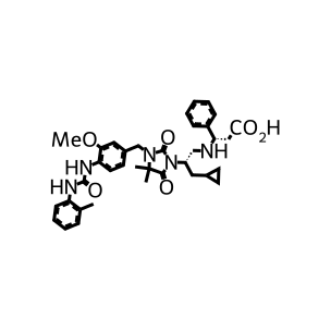 COc1cc(CN2C(=O)N([C@H](CN[C@@H](CC(=O)O)c3ccccc3)CC3CC3)C(=O)C2(C)C)ccc1NC(=O)Nc1ccccc1C